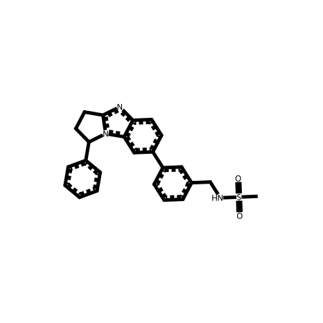 CS(=O)(=O)NCc1cccc(-c2ccc3nc4n(c3c2)C(c2ccccc2)CC4)c1